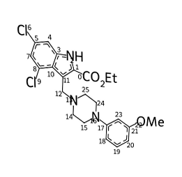 CCOC(=O)c1[nH]c2cc(Cl)cc(Cl)c2c1CN1CCN(c2cccc(OC)c2)CC1